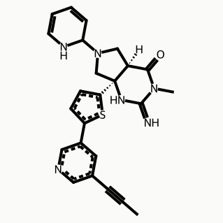 CC#Cc1cncc(-c2ccc([C@]34CN(C5C=CC=CN5)C[C@H]3C(=O)N(C)C(=N)N4)s2)c1